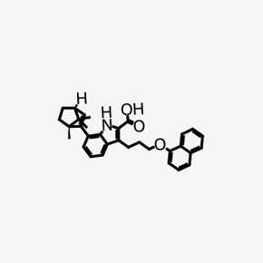 CC1(C)[C@H]2C=C(c3cccc4c(CCCOc5cccc6ccccc56)c(C(=O)O)[nH]c34)[C@]1(C)CC2